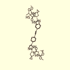 COC(=O)N[C@@H](CF)C(=O)N1CC2(CC2)C[C@H]1c1ncc(-c2ccc(C#Cc3ccc4nc([C@@H]5CC6(CC6)CN5C(=O)[C@](S)(NC(=O)OC)C(C)C)[nH]c4c3)cc2)[nH]1